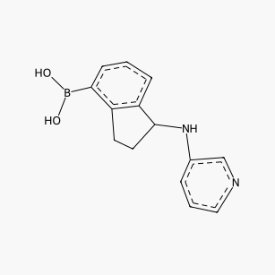 OB(O)c1cccc2c1CCC2Nc1cccnc1